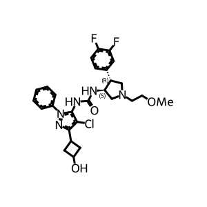 COCCN1C[C@@H](NC(=O)Nc2c(Cl)c(C3CC(O)C3)nn2-c2ccccc2)[C@H](c2ccc(F)c(F)c2)C1